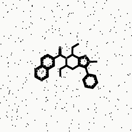 CCC1Cc2c(nn(C)c2-c2ccccc2)C(CC)N1C(=O)c1ccc2ncncc2c1